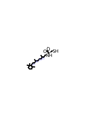 COC(=O)[C@H](CCS)NC/C=C(C)/C=C/C=C(C)/C=C/C1=C(C)CCCC1(C)C